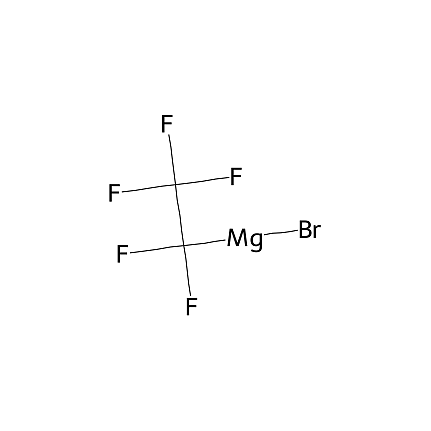 FC(F)(F)[C](F)(F)[Mg][Br]